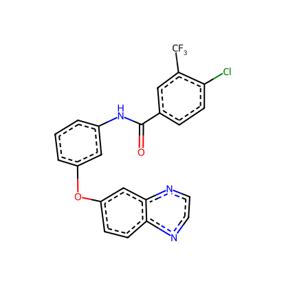 O=C(Nc1cccc(Oc2ccc3nccnc3c2)c1)c1ccc(Cl)c(C(F)(F)F)c1